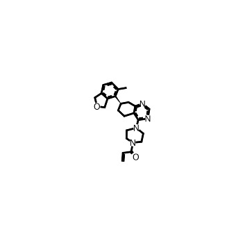 C=CC(=O)N1CCN(c2ncnc3c2CC[C@@H](c2c(C)ccc4c2COC4)C3)CC1